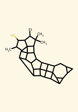 CCC1C2C(S)C(C)C3C4C5C6C7C8C(C9C(C1(C)C)C23C49C58)C1C2C3CC4CC4C4C5C4C34C5C3C6C71C234